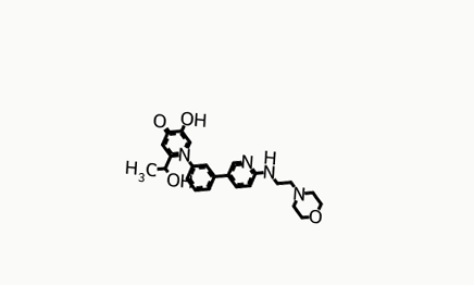 CC(O)c1cc(=O)c(O)cn1-c1cccc(-c2ccc(NCCN3CCOCC3)nc2)c1